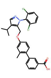 Cc1cc(OCc2c(C(C)C)cnn2-c2c(Cl)cccc2Cl)ccc1-c1cccc(C(=O)O)c1